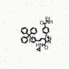 CCNC(=O)c1ccc(-n2nnc(C(=O)NC3CC3)c2C=Cc2cnn(C(c3ccccc3)(c3ccccc3)c3ccccc3)c2)cc1